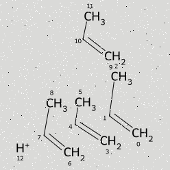 C=CC.C=CC.C=CC.C=CC.[H+]